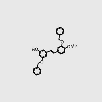 COc1ccc(C=Cc2cc(O)cc(OCc3ccccc3)c2)cc1OCc1ccccc1